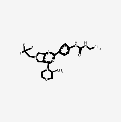 CCNC(=O)Nc1ccc(-c2nc3c(c(N4CCOC[C@@H]4C)n2)CN(CC(F)(F)F)C3)cc1